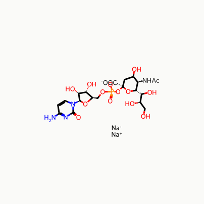 CC(=O)N[C@@H]1C(O)C[C@@](OP(=O)([O-])OC[C@H]2O[C@@H](n3ccc(N)nc3=O)[C@H](O)[C@@H]2O)(C(=O)[O-])O[C@H]1C(O)[C@H](O)CO.[Na+].[Na+]